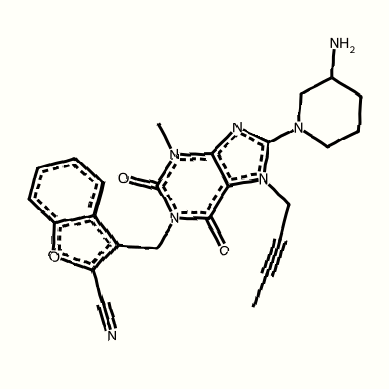 CC#CCn1c(N2CCCC(N)C2)nc2c1c(=O)n(Cc1c(C#N)oc3ccccc13)c(=O)n2C